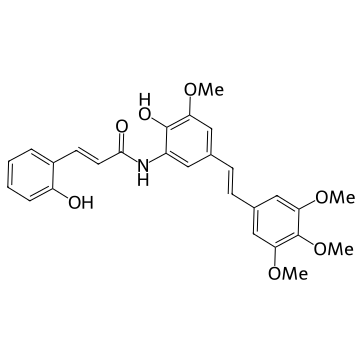 COc1cc(/C=C/c2cc(OC)c(OC)c(OC)c2)cc(NC(=O)/C=C/c2ccccc2O)c1O